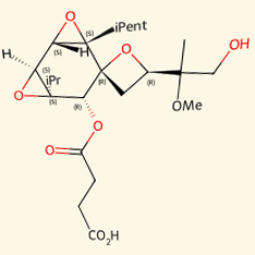 CCCC(C)[C@]12O[C@H]1[C@@H]1O[C@]1(C(C)C)[C@@H](OC(=O)CCC(=O)O)[C@]21C[C@H](C(C)(CO)OC)O1